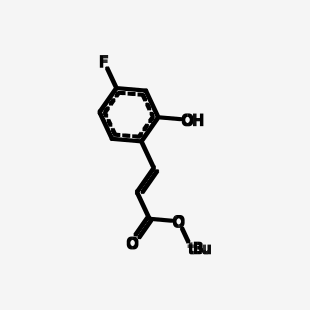 CC(C)(C)OC(=O)C=Cc1ccc(F)cc1O